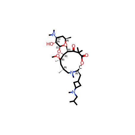 CO[C@]1(C)C[C@@H](C)CN(C)[C@H](CC2CC(N(C)CC(C)C)C2)COC(=O)C(C)(C)C(=O)[C@H](C)[C@H]1O[C@@H]1O[C@H](C)C[C@H](N(C)C)[C@H]1O